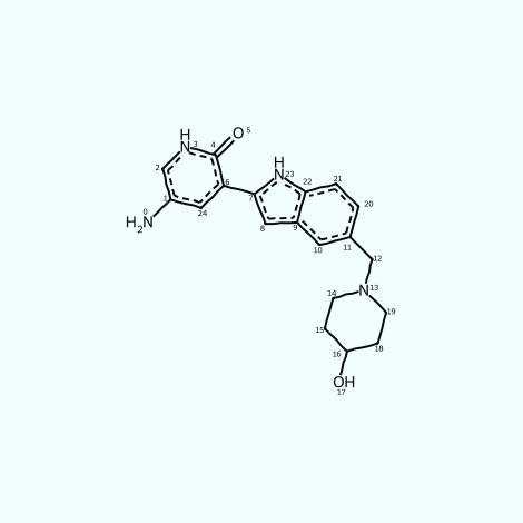 Nc1c[nH]c(=O)c(-c2cc3cc(CN4CCC(O)CC4)ccc3[nH]2)c1